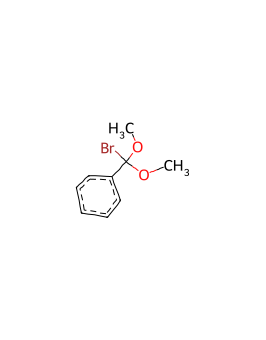 COC(Br)(OC)c1ccccc1